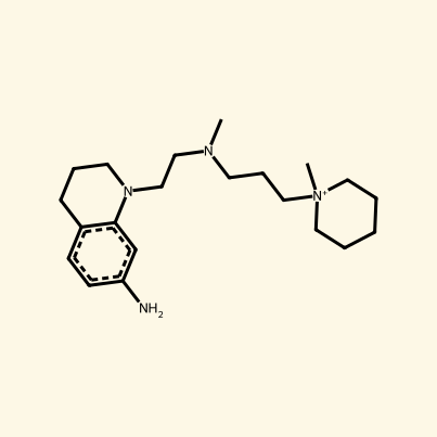 CN(CCC[N+]1(C)CCCCC1)CCN1CCCc2ccc(N)cc21